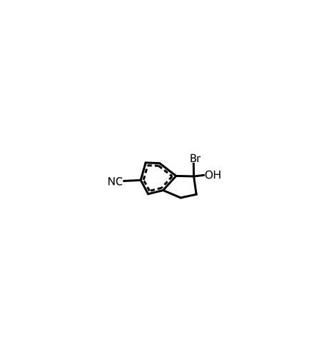 N#Cc1ccc2c(c1)CCC2(O)Br